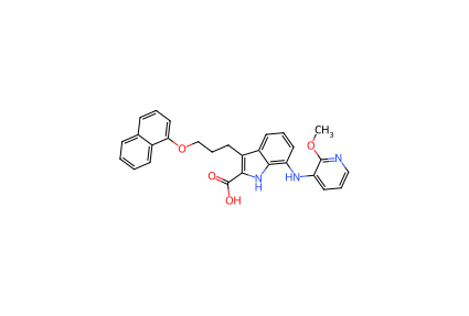 COc1ncccc1Nc1cccc2c(CCCOc3cccc4ccccc34)c(C(=O)O)[nH]c12